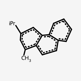 Cc1cc(C(C)C)cc2c1ccc1ccccc12